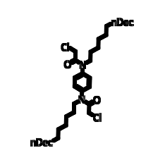 CCCCCCCCCCCCCCCCN(C(=O)CCl)c1ccc(N(CCCCCCCCCCCCCCCC)C(=O)CCl)cc1